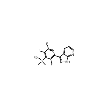 CC(C)(C)[Si](C)(C)c1c(F)c(F)nc(-c2n[nH]c3ncccc23)c1F